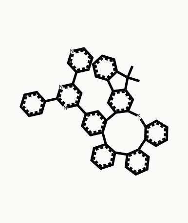 CC1(C)c2ccccc2-c2cc3c(cc21)Sc1ccccc1-c1ccccc1-c1ccccc1-c1ccc(-c2cc(-c4cccnc4)nc(-c4ccccc4)n2)cc1-3